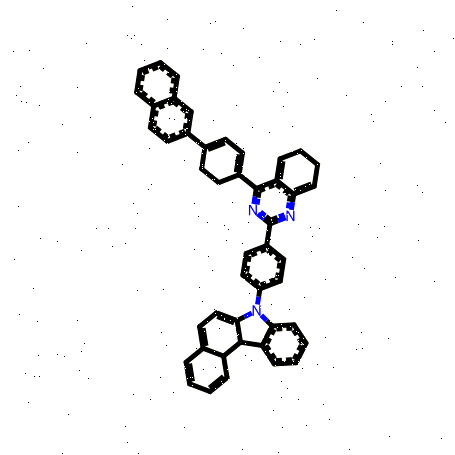 C1=CC2=CC=C3C(c4ccccc4N3c3ccc(-c4nc(C5=CC=C(c6ccc7ccccc7c6)CC5)c5c(n4)=CCCC=5)cc3)C2C=C1